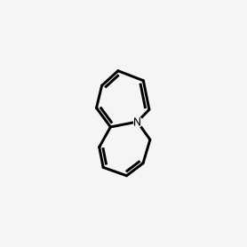 C1=CC=C2C=CC=CCN2C=C1